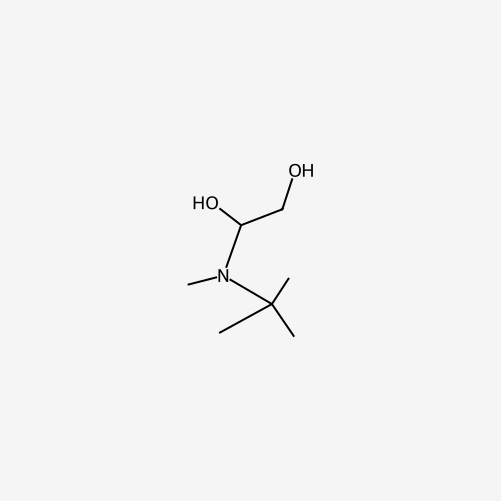 CN(C(O)CO)C(C)(C)C